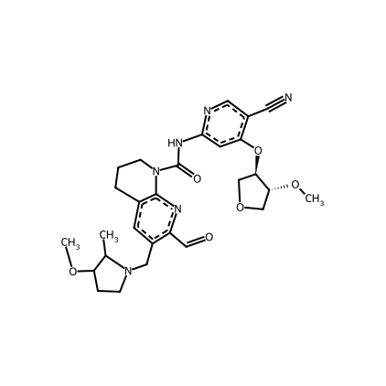 COC1CCN(Cc2cc3c(nc2C=O)N(C(=O)Nc2cc(O[C@@H]4COC[C@H]4OC)c(C#N)cn2)CCC3)C1C